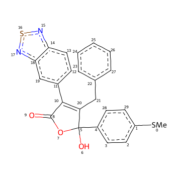 CSc1ccc(C2(O)OC(=O)C(c3ccc4nsnc4c3)=C2Cc2ccccc2)cc1